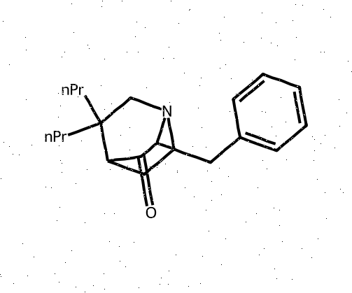 CCCC1(CCC)CN2CCC1C(=O)C2Cc1ccccc1